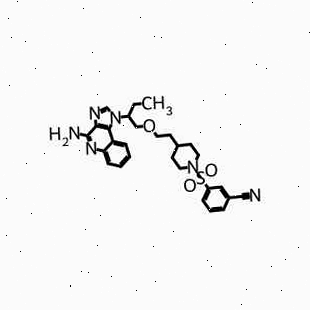 CCC(COCCC1CCN(S(=O)(=O)c2cccc(C#N)c2)CC1)n1cnc2c(N)nc3ccccc3c21